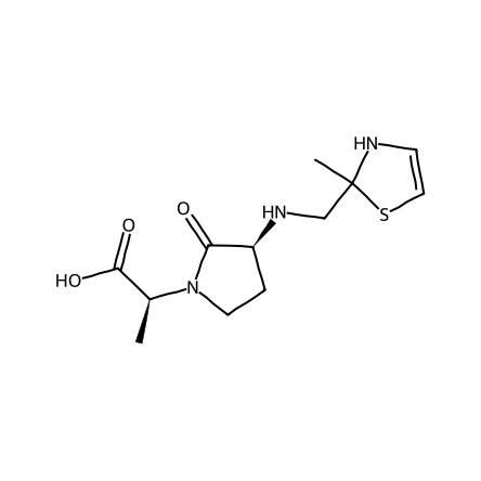 C[C@@H](C(=O)O)N1CC[C@H](NCC2(C)NC=CS2)C1=O